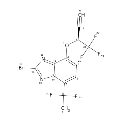 C#C[C@H](Oc1ccc(C(C)(F)F)n2nc(Br)nc12)C(F)(F)F